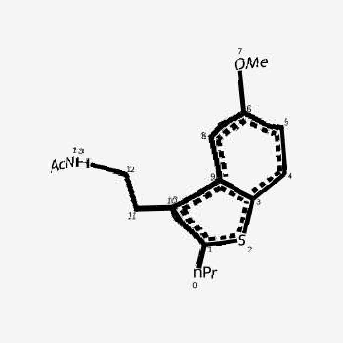 CCCc1sc2ccc(OC)cc2c1CCNC(C)=O